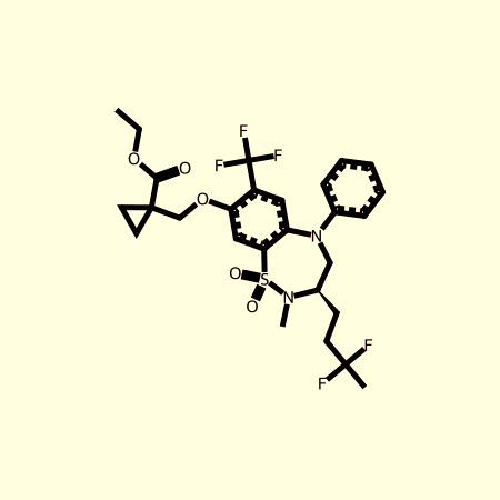 CCOC(=O)C1(COc2cc3c(cc2C(F)(F)F)N(c2ccccc2)C[C@@H](CCC(C)(F)F)N(C)S3(=O)=O)CC1